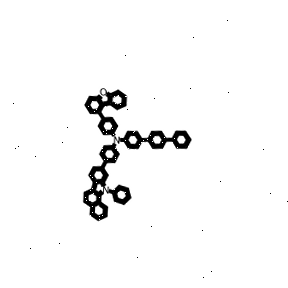 c1ccc(-c2ccc(-c3ccc(N(c4ccc(-c5ccc6c7ccc8ccccc8c7n(-c7ccccc7)c6c5)cc4)c4ccc(-c5cccc6oc7ccccc7c56)cc4)cc3)cc2)cc1